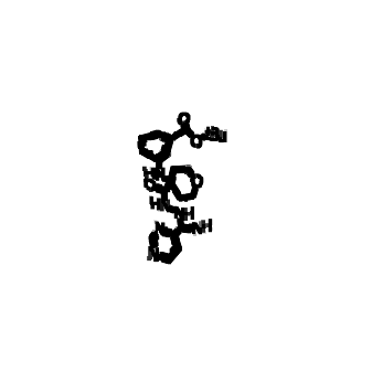 CC(C)(C)OC(=O)c1cccc(NC2(C(=O)NNC(=N)c3ccncn3)CCOCC2)c1